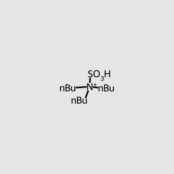 CCCC[N+](CCCC)(CCCC)S(=O)(=O)O